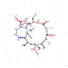 CC[C@H]1OC(=O)[C@H](C)C(=O)[C@H](C)[C@@H](C)[C@](C)(OC)C[C@@H](C)C2=NCCN3C(=O)O[C@@]1(C)[C@@]3(O)[C@H]2C